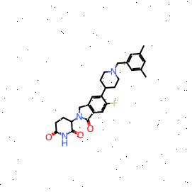 Cc1cc(C)cc(CN2CCC(c3cc4c(cc3F)C(=O)N(C3CCC(=O)NC3=O)C4)CC2)c1